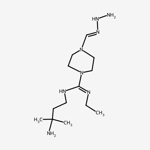 CCN=C(NCCC(C)(C)N)N1CCN(C=NNN)CC1